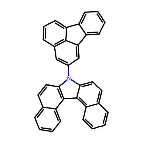 c1ccc2c(c1)-c1cccc3cc(-n4c5ccc6ccccc6c5c5c6ccccc6ccc54)cc-2c13